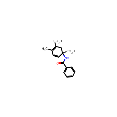 CC1=C(C(=O)O)CC(NC(=O)c2ccccc2)(C(=O)O)C=C1